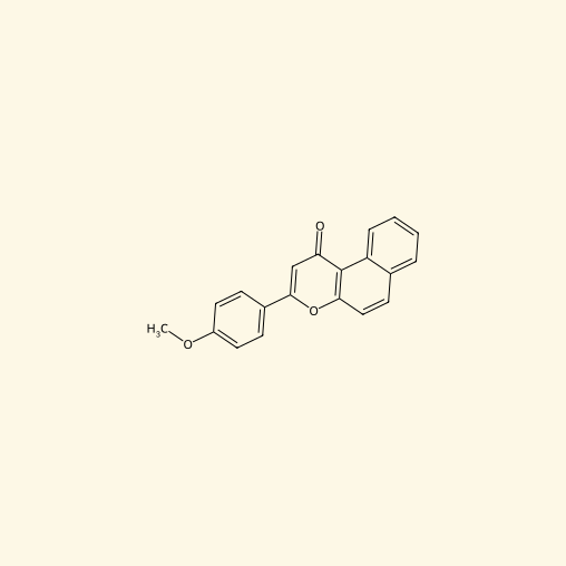 COc1ccc(-c2cc(=O)c3c(ccc4ccccc43)o2)cc1